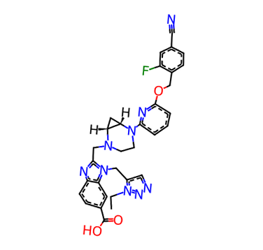 CCn1nncc1Cn1c(CN2CCN(c3cccc(OCc4ccc(C#N)cc4F)n3)[C@H]3C[C@H]32)nc2ccc(C(=O)O)cc21